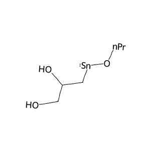 CCC[O][Sn][CH2]C(O)CO